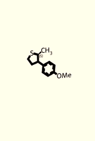 COc1ccc(C2CCS[C@H]2C)cc1